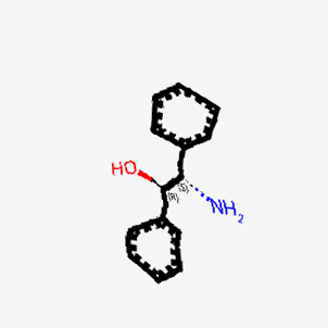 N[C@@H](c1ccccc1)[C@H](O)c1ccccc1